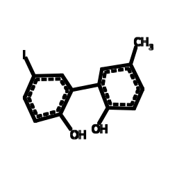 Cc1ccc(O)c(-c2cc(I)ccc2O)c1